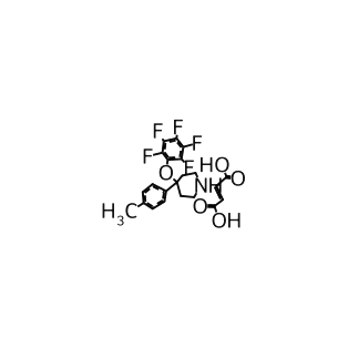 Cc1ccc(C2(Oc3c(F)c(F)c(F)c(F)c3F)CCNCC2)cc1.O=C(O)C=CC(=O)O